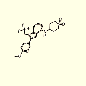 COc1ccc(-c2cc3c(NC4CCS(=O)(=O)CC4)cccc3n2CC(F)(F)F)cn1